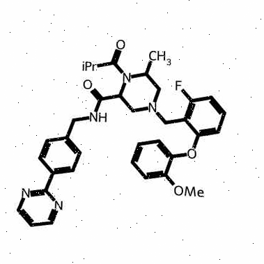 COc1ccccc1Oc1cccc(F)c1CN1CC(C)N(C(=O)C(C)C)C(C(=O)NCc2ccc(-c3ncccn3)cc2)C1